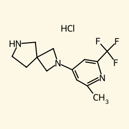 Cc1cc(N2CC3(CCNC3)C2)cc(C(F)(F)F)n1.Cl